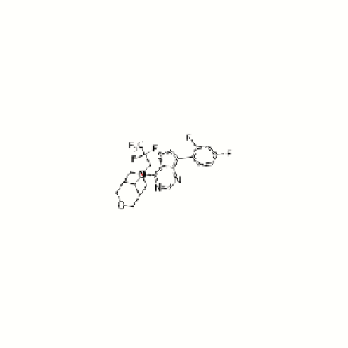 Fc1ccc(-c2csc3c(OC4C5COCC4CN(CC(F)(F)C(F)(F)F)C5)ncnc23)c(F)c1